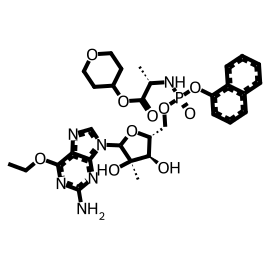 CCOc1nc(N)nc2c1ncn2C1O[C@H](COP(=O)(N[C@@H](C)C(=O)OC2CCOCC2)Oc2cccc3ccccc23)[C@@H](O)[C@@]1(C)O